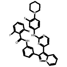 O=C(Nc1cccc(-c2nn3ccccc3c2-c2ccnc(Nc3ccc(N4CCCCC4)c(F)c3)n2)c1)c1c(F)cccc1F